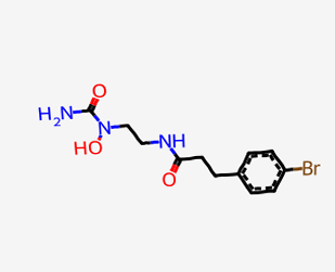 NC(=O)N(O)CCNC(=O)CCc1ccc(Br)cc1